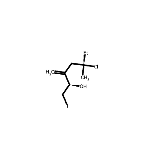 C=C(C[C@@](C)(Cl)CC)[C@@H](O)CI